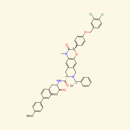 CC[C@@H](c1ccccc1)N1Cc2cc3c(cc2C[C@H]1C(=O)NC(Cc1ccc(-c2ccc(OC)cc2)cc1)C(=O)OC)N(C)C(=O)[C@@H](c1ccc(OCc2ccc(Cl)c(Cl)c2)cc1)O3